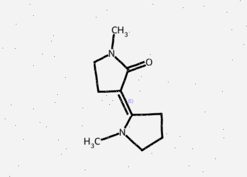 CN1CC/C(=C2/CCCN2C)C1=O